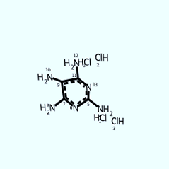 Cl.Cl.Cl.Cl.Nc1nc(N)c(N)c(N)n1